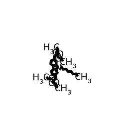 CCCCCCCCn1c2cc(CP(=O)(OCC)OCC)ccc2c2ccc(CP(=O)(OCC)OCC)cc21